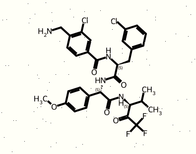 COc1ccc([C@H](NC(=O)[C@H](Cc2cccc(Cl)c2)NC(=O)c2ccc(CN)c(Cl)c2)C(=O)N[C@H](C(=O)C(F)(F)F)C(C)C)cc1